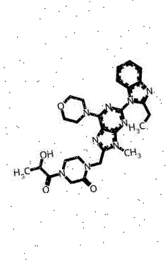 CCc1nc2ccccc2n1-c1nc(N2CCOCC2)c2nc(CN3CCN(C(=O)C(C)O)CC3=O)n(C)c2n1